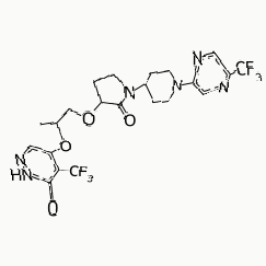 CC(COC1CCN(C2CCN(c3cnc(C(F)(F)F)cn3)CC2)C1=O)Oc1cn[nH]c(=O)c1C(F)(F)F